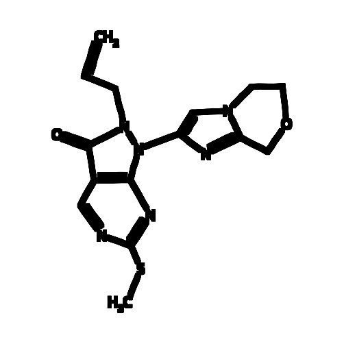 C=CCn1c(=O)c2cnc(SC)nc2n1-c1cn2c(n1)COCC2